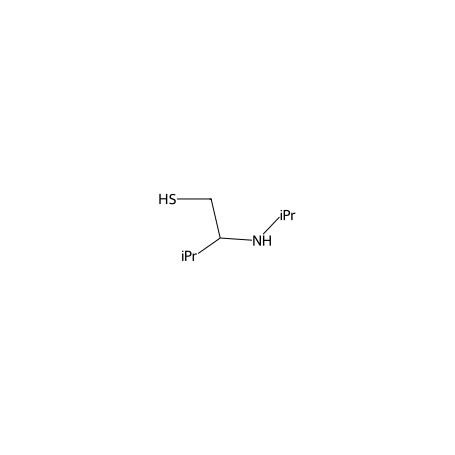 CC(C)NC(CS)C(C)C